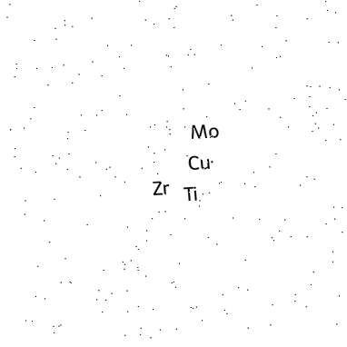 [Cu].[Mo].[Ti].[Zr]